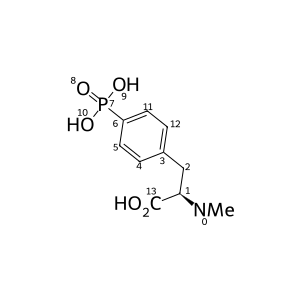 CN[C@H](Cc1ccc(P(=O)(O)O)cc1)C(=O)O